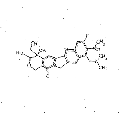 CC[C@]1(O)c2cc3n(c(=O)c2COC1O)Cc1cc2c(CN(C)C)c(NC)c(F)cc2nc1-3